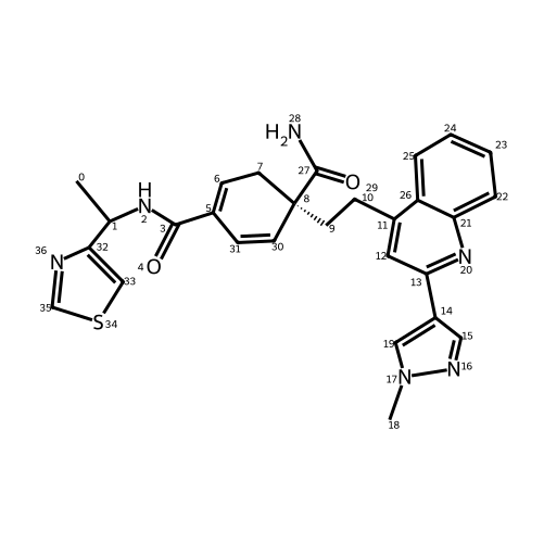 CC(NC(=O)C1=CC[C@@](CCc2cc(-c3cnn(C)c3)nc3ccccc23)(C(N)=O)C=C1)c1cscn1